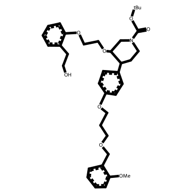 COc1ccccc1COCCCOc1ccc(C2CCN(C(=O)OC(C)(C)C)CC2OCCOc2ccccc2CCO)cc1